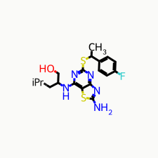 CC(C)CC(CO)Nc1nc(SC(C)c2ccc(F)cc2)nc2nc(N)sc12